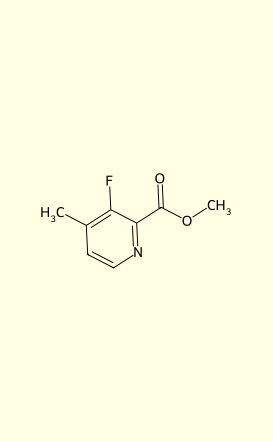 COC(=O)c1nccc(C)c1F